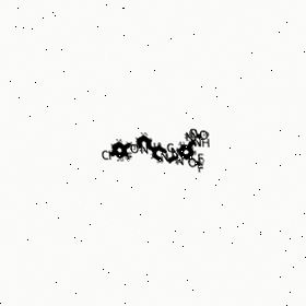 Cn1c(CN2CCC(c3cccc(OCc4ccc(Cl)cc4F)n3)CC2)nc2c(OC(F)F)cc(-c3noc(=O)[nH]3)cc21